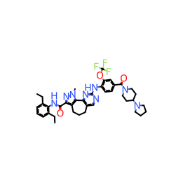 CCc1cccc(CC)c1NC(=O)c1nn(C)c2c1CCCc1cnc(Nc3ccc(C(=O)N4CCC(N5CCCC5)CC4)cc3OC(F)(F)F)nc1-2